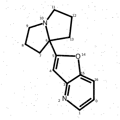 c1cnc2cc(C34CCCN3CCC4)oc2c1